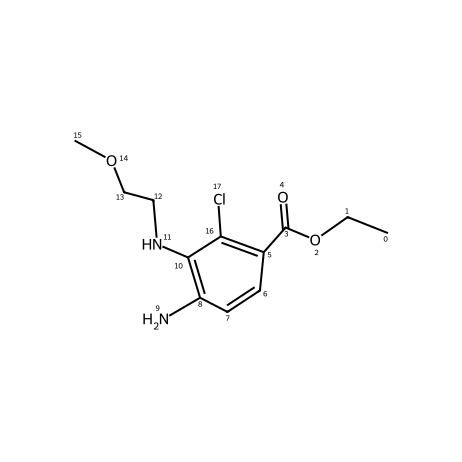 CCOC(=O)c1ccc(N)c(NCCOC)c1Cl